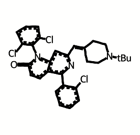 CC(C)(C)N1CCC(=Cc2cc3c(ccc(=O)n3-c3c(Cl)cccc3Cl)c(-c3ccccc3Cl)n2)CC1